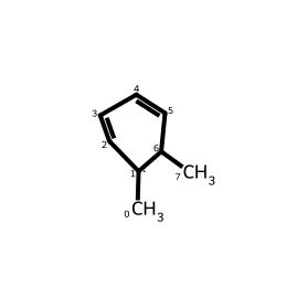 C[C]1C=CC=CC1C